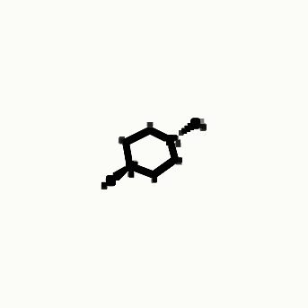 [O-][S@+]1CC[S@@+]([O-])CC1